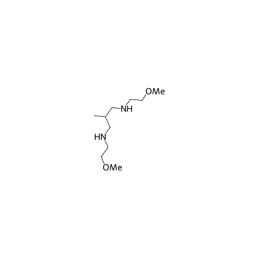 COCCNCC(C)CNCCOC